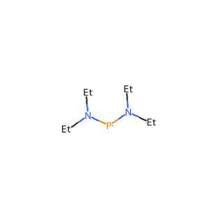 CCN(CC)[P]N(CC)CC